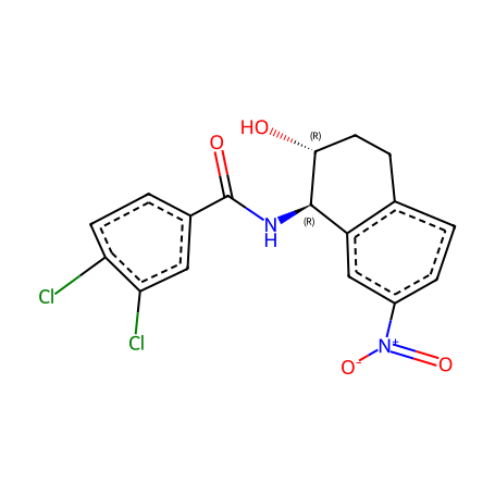 O=C(N[C@@H]1c2cc([N+](=O)[O-])ccc2CC[C@H]1O)c1ccc(Cl)c(Cl)c1